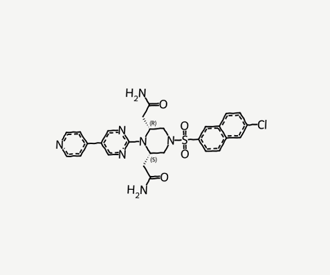 NC(=O)C[C@@H]1CN(S(=O)(=O)c2ccc3cc(Cl)ccc3c2)C[C@H](CC(N)=O)N1c1ncc(-c2ccncc2)cn1